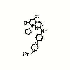 CCc1cc(=O)n(C2CCCC2)c2nc(Nc3ccc(N4CCN(C[C](C)C)CC4)cc3)ncc12